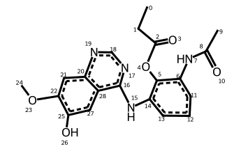 CCC(=O)Oc1c(NC(C)=O)cccc1Nc1ncnc2cc(OC)c(O)cc12